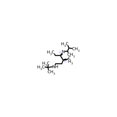 C/C=C(CCNC(C)(C)C)\C(CC)=N/C(C)C(C)C